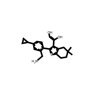 CC1(C)CCc2sc(-c3ccc(C4CC4)cc3CN)c(/C(O)=C/O)c2C1